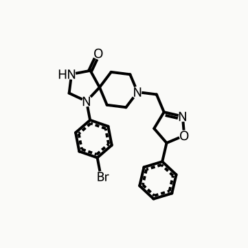 O=C1NCN(c2ccc(Br)cc2)C12CCN(CC1=NOC(c3ccccc3)C1)CC2